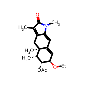 CCO[C@@H]1C=C2C=C3C(=C(C)C(=O)N3C)C[C@]2(C)[C@@H](C)[C@H]1OC(C)=O